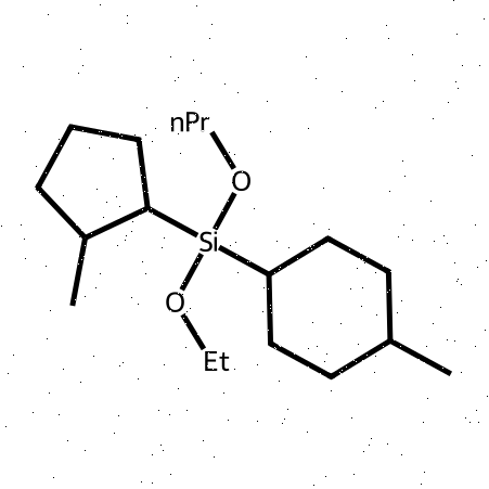 CCCO[Si](OCC)(C1CCC(C)CC1)C1CCCC1C